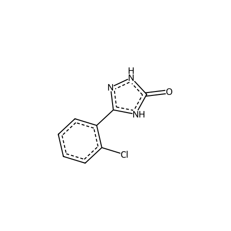 O=c1[nH]nc(-c2ccccc2Cl)[nH]1